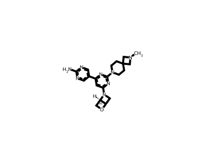 CN1CC2(CCN(c3nc(-c4cnc(N)nc4)cc(N4CC5OC[C@H]54)n3)CC2)C1